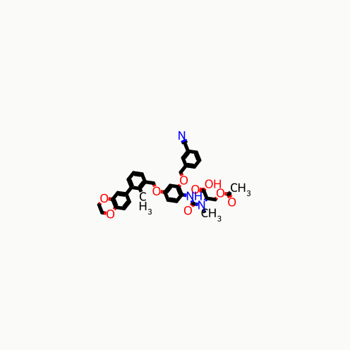 CC(=O)OCC(C(=O)O)N(C)C(=O)Nc1ccc(OCc2cccc(-c3ccc4c(c3)OCCO4)c2C)cc1OCc1cccc(C#N)c1